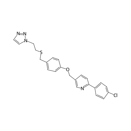 Clc1ccc(-c2ccc(COc3ccc(CSCCn4ccnn4)cc3)cn2)cc1